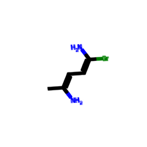 C/C(N)=C/C=C(\N)Br